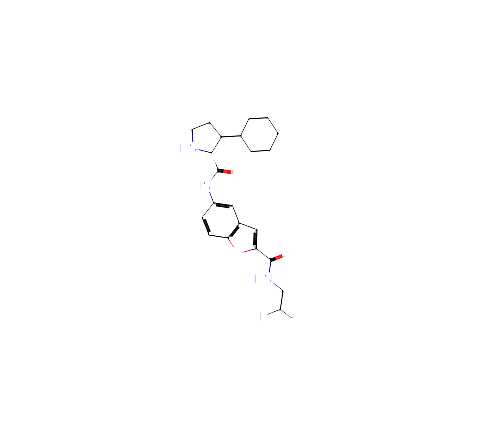 O=C(NCC(F)F)c1cc2cc(NC(=O)[C@H]3NCCC3C3CCCCC3)ccc2o1